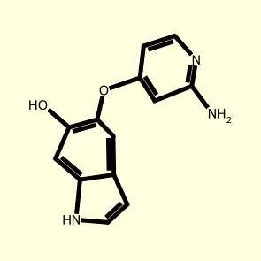 Nc1cc(Oc2cc3cc[nH]c3cc2O)ccn1